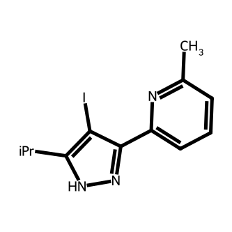 Cc1cccc(-c2n[nH]c(C(C)C)c2I)n1